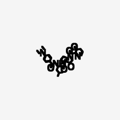 CCN(CC)c1ccc(C(=O)NC(CC(C)C)C(=O)N2CCC3C2C(=O)CN3C(=O)C2=NC=CCC2=O)cc1